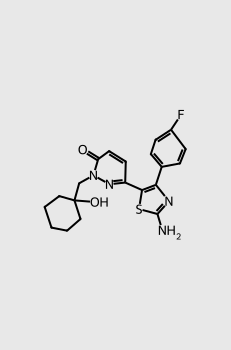 Nc1nc(-c2ccc(F)cc2)c(-c2ccc(=O)n(CC3(O)CCCCC3)n2)s1